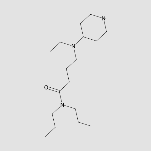 CCCN(CCC)C(=O)CCCN(CC)C1CC[N]CC1